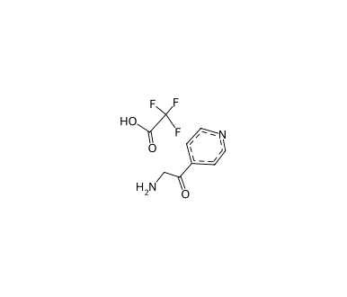 NCC(=O)c1ccncc1.O=C(O)C(F)(F)F